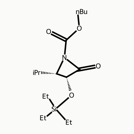 CCCCOC(=O)N1C(=O)[C@H](O[Si](CC)(CC)CC)[C@@H]1C(C)C